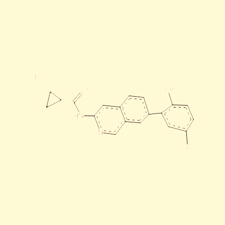 Cc1ccc(F)cc1-c1ccc2cc(NC(=O)[C@@H]3C[C@@H]3C)ncc2c1